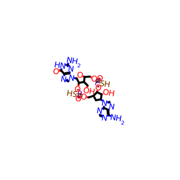 Nc1nc2c(ncn2C2OC3CO[P@@](=O)(S)OC4C(CO[P@](=O)(S)OC2C3CO)CC(n2cnc3c(N)ncnc32)C4O)c(=O)[nH]1